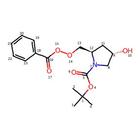 CC(C)(C)OC(=O)N1C[C@@H](O)C[C@@H]1COOC(=O)c1ccccc1